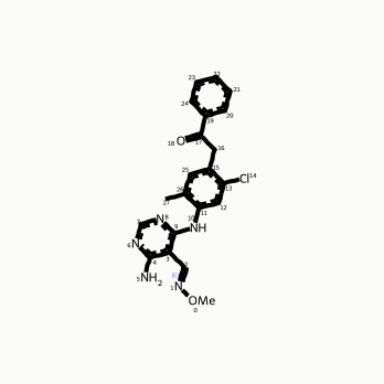 CO/N=C/c1c(N)ncnc1Nc1cc(Cl)c(CC(=O)c2ccccc2)cc1C